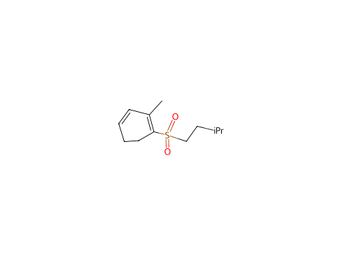 CC1=C(S(=O)(=O)CCC(C)C)CCC=C1